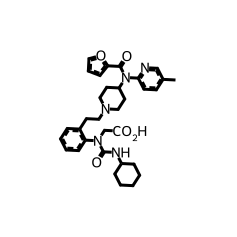 Cc1ccc(N(C(=O)c2ccco2)C2CCN(CCc3ccccc3N(CC(=O)O)C(=O)NC3CCCCC3)CC2)nc1